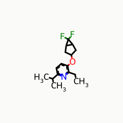 CCc1nc(C(C)C)ccc1OC1CC2C(C1)C2(F)F